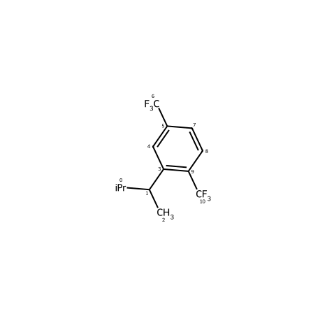 CC(C)C(C)c1cc(C(F)(F)F)ccc1C(F)(F)F